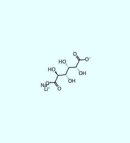 O=C([O-])[C@@H](O)[C@@H](O)[C@H](O)[C@@H](O)C(=O)[O-].[Li+].[Na+]